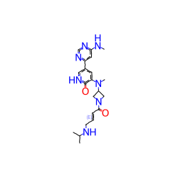 CNc1cc(-c2c[nH]c(=O)c(N(C)C3CN(C(=O)/C=C/CNC(C)C)C3)c2)ncn1